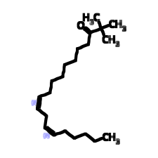 CCCCC/C=C\C/C=C\CCCCCCCC(=O)C(C)(C)C